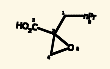 CCCCC1(C(=O)O)CO1